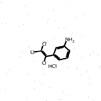 Cl.Nc1cccc(C(Cl)=C(Cl)Cl)c1